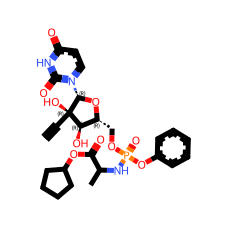 C#C[C@@]1(O)[C@H](O)[C@@H](COP(=O)(NC(C)C(=O)OC2CCCC2)Oc2ccccc2)O[C@H]1n1ccc(=O)[nH]c1=O